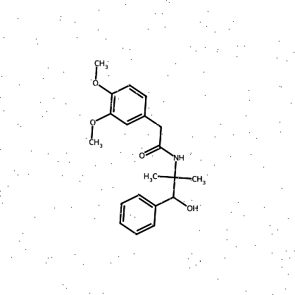 COc1ccc(CC(=O)NC(C)(C)C(O)c2ccccc2)cc1OC